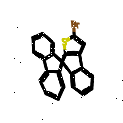 Brc1cc2c(s1)C1(c3ccccc3-c3ccccc31)c1ccccc1-2